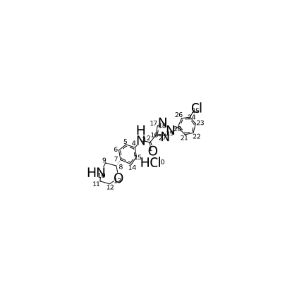 Cl.O=C(Nc1ccc([C@H]2CNCCO2)cc1)c1cnn(-c2cccc(Cl)c2)n1